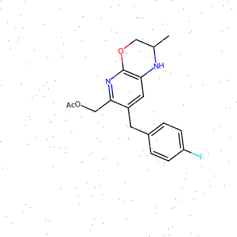 CC(=O)OCc1nc2c(cc1Cc1ccc(F)cc1)NC(C)CO2